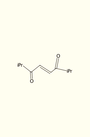 CC(C)C(=O)/C=C/C(=O)C(C)C